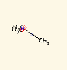 CCCCCCCC/C=C/CCCCCCCC(=O)N(C)OC